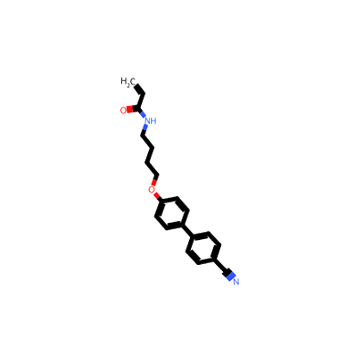 C=CC(=O)NCCCCOc1ccc(-c2ccc(C#N)cc2)cc1